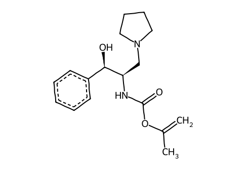 C=C(C)OC(=O)N[C@H](CN1CCCC1)[C@H](O)c1ccccc1